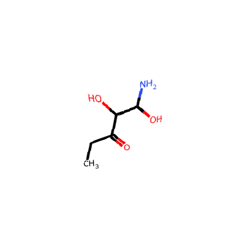 CCC(=O)C(O)C(N)O